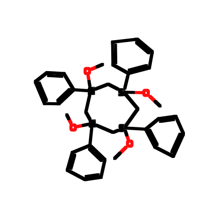 CO[Si]1(c2ccccc2)C[Si](OC)(c2ccccc2)C[Si](OC)(c2ccccc2)C[Si](OC)(c2ccccc2)C1